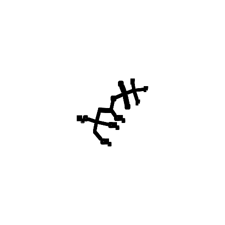 CCC(C)(C)/C=C(\C)OS(=O)(=O)C(F)(F)F